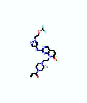 C=CC(=O)N1CCN(CCn2c(=O)ccc3cnc(Nc4cnn(CCOC(F)F)c4)nc32)[C@@H](C)C1